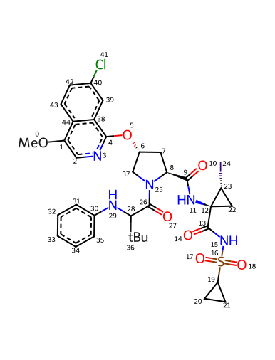 COc1cnc(O[C@@H]2C[C@@H](C(=O)N[C@]3(C(=O)NS(=O)(=O)C4CC4)C[C@H]3I)N(C(=O)C(Nc3ccccc3)C(C)(C)C)C2)c2cc(Cl)ccc12